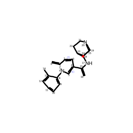 C=C/C=C\C(=C/N(C)c1ccccc1C)C(=C)NC1CN2CCC1CC2